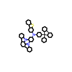 c1ccc(C2(c3ccc(N(c4ccc5c(c4)sc4ccccc45)c4ccc5c(c4)n4c6ccccc6c6ccc7c8ccccc8n5c7c64)cc3)c3ccccc3-c3ccccc32)cc1